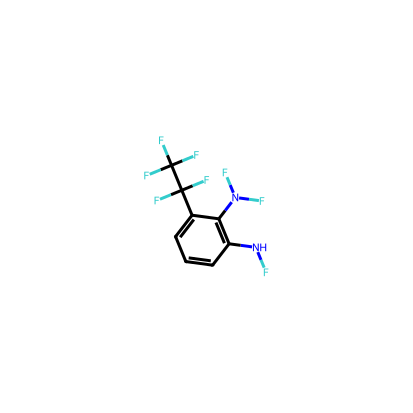 FNc1cccc(C(F)(F)C(F)(F)F)c1N(F)F